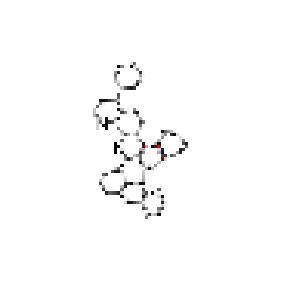 c1ccc(-c2ccnc3c2ccc2c(-c4ccccc4)cc(-c4cccc5cc6ccccc6c(-c6ccccc6)c45)nc23)cc1